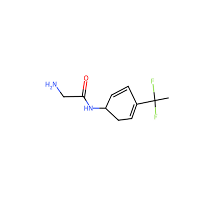 CC(F)(F)C1=CCC(NC(=O)CN)C=C1